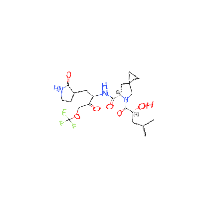 CC(C)C[C@@H](O)C(=O)N1CC2(CC2)C[C@H]1C(=O)NC(CC1CCNC1=O)C(=O)COC(F)(F)F